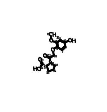 COc1cc(O)ccc1OCC(=O)N1CCC[C@@H]1C(=O)O